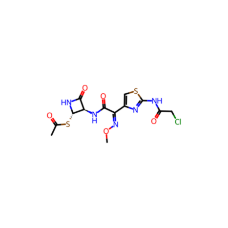 CON=C(C(=O)N[C@@H]1C(=O)N[C@H]1SC(C)=O)c1csc(NC(=O)CCl)n1